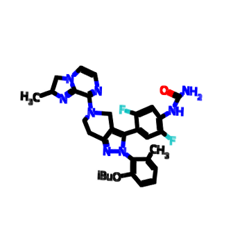 Cc1cccc(OCC(C)C)c1-n1nc2c(c1-c1cc(F)c(NC(N)=O)cc1F)CN(C1=NC=CN3CC(C)N=C13)CC2